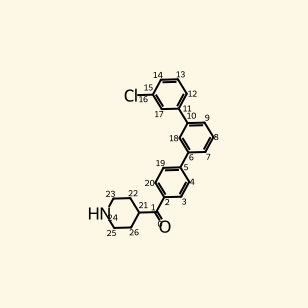 O=C(c1ccc(-c2cccc(-c3cccc(Cl)c3)c2)cc1)C1CCNCC1